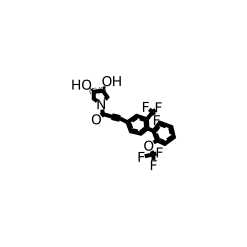 O=C(C#Cc1ccc(-c2ccccc2OC(F)(F)F)c(C(F)(F)F)c1)N1C[C@H](O)[C@@H](O)C1